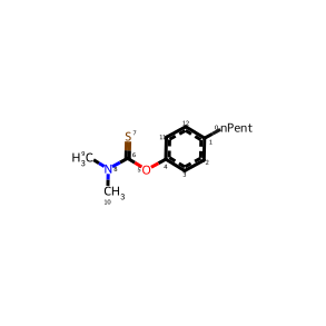 CCCCCc1ccc(OC(=S)N(C)C)cc1